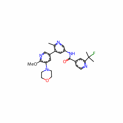 COc1ncc(-c2cc(NC(=O)c3ccnc(C(C)(C)F)c3)cnc2C)cc1N1CCOCC1